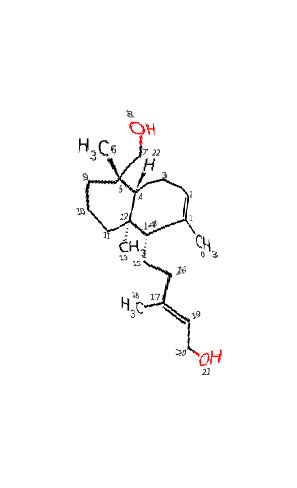 CC1=CC[C@H]2[C@@](C)(CO)CCC[C@]2(C)[C@H]1CC/C(C)=C/CO